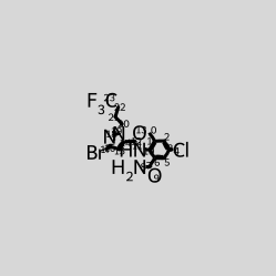 Cc1cc(Cl)cc(C(N)=O)c1NC(=O)c1cc(Br)nn1CCCC(F)(F)F